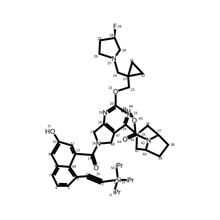 CC(C)[Si](C#Cc1cccc2cc(O)cc(C(=O)N3Cc4nc(OCC5(CN6CC[C@@H](F)C6)CC5)nc(N5CC6CCC(C5)N6C(=O)OC(C)(C)C)c4C3)c12)(C(C)C)C(C)C